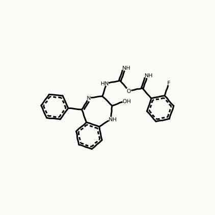 N=C(NC1N=C(c2ccccc2)c2ccccc2NC1O)OC(=N)c1ccccc1F